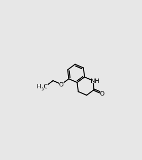 CCOc1cccc2c1CCC(=O)N2